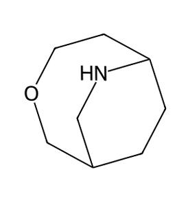 C1CC2CCC(CN2)CO1